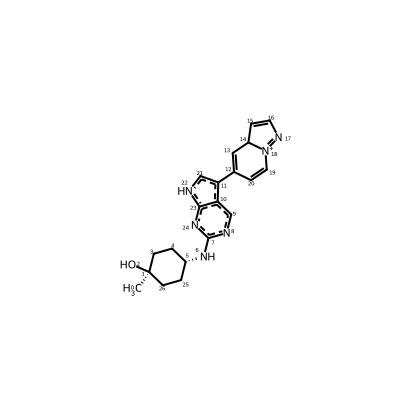 C[C@]1(O)CC[C@H](Nc2ncc3c(C4=CC5C=CN=[N+]5C=C4)c[nH]c3n2)CC1